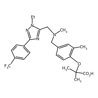 CCn1nc(-c2ccc(C(F)(F)F)cc2)nc1CN(C)Cc1ccc(OC(C)(C)C(=O)O)c(C)c1